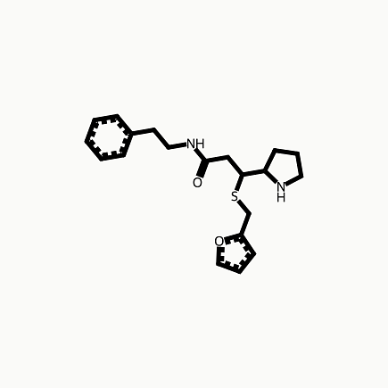 O=C(CC(SCc1ccco1)C1CCCN1)NCCc1ccccc1